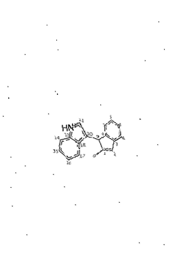 CC1=Cc2ccccc2C1c1c[nH]c2ccccc12